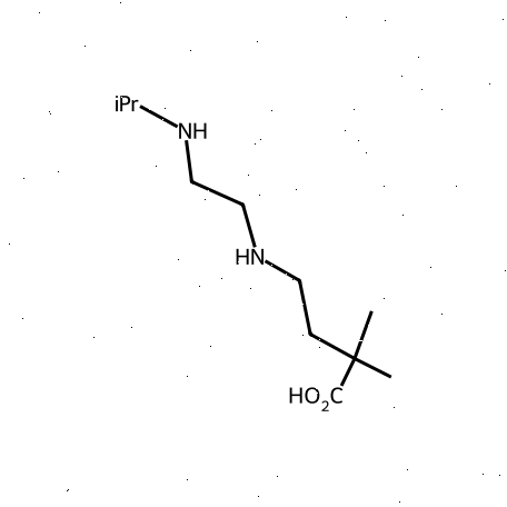 CC(C)NCCNCCC(C)(C)C(=O)O